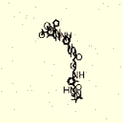 CC(=O)c1c(C)c2cnc(Nc3ccc(N4CCN(C(=O)CCOCCNc5cccc(C(=O)Nc6nc(C)c(C)s6)c5C)CC4)cn3)nc2n(C2CCCC2)c1=O